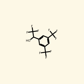 OC(c1cc(C(F)(F)F)cc(C(F)(F)F)c1)C(F)(F)F